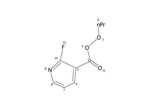 CCCOOC(=O)c1cccnc1F